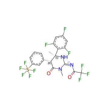 CN1C(=O)[C@H](c2cccc(S(F)(F)(F)(F)F)c2)[C@@](C)(c2c(F)cc(F)cc2F)N/C1=N/C(=O)C(F)(F)F